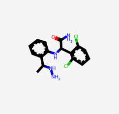 CC(NN)c1ccccc1NC(C(N)=O)c1c(Cl)cccc1Cl